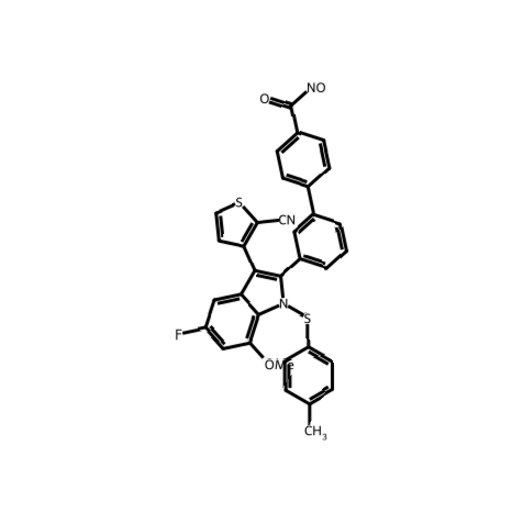 COc1cc(F)cc2c(-c3ccsc3C#N)c(-c3cccc(-c4ccc(C(=O)N=O)cc4)c3)n(Sc3ccc(C)cc3)c12